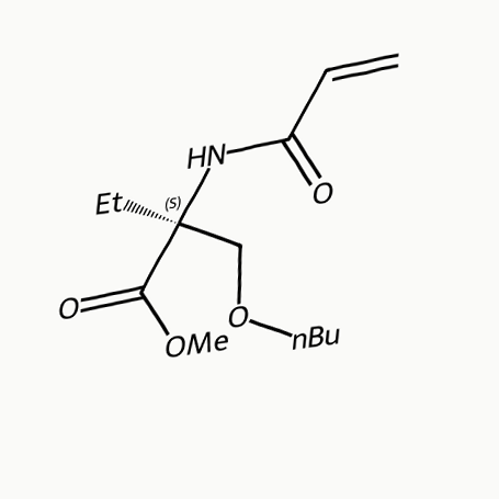 C=CC(=O)N[C@@](CC)(COCCCC)C(=O)OC